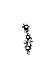 O=C(Nc1ccc(-c2cc3ccccc3o2)cc1)c1ccc(Cl)cc1F